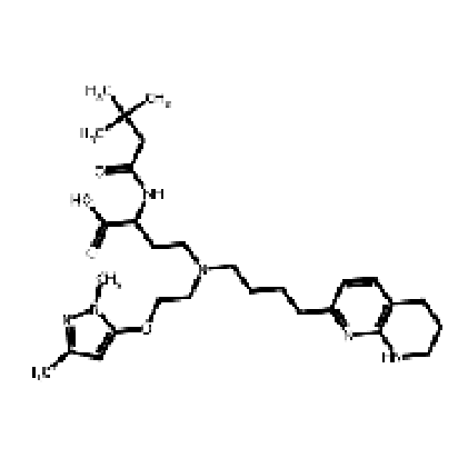 Cc1cc(OCCN(CCCCc2ccc3c(n2)NCCC3)CCC(NC(=O)CC(C)(C)C)C(=O)O)n(C)n1